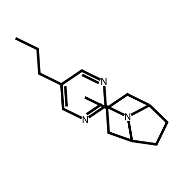 CCCc1cnc(N2C3CCC2CC(C)C3)nc1